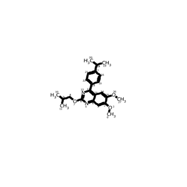 COc1cc2nc(OCC(C)C)nc(-c3ccc(C(C)C)cc3)c2cc1OC